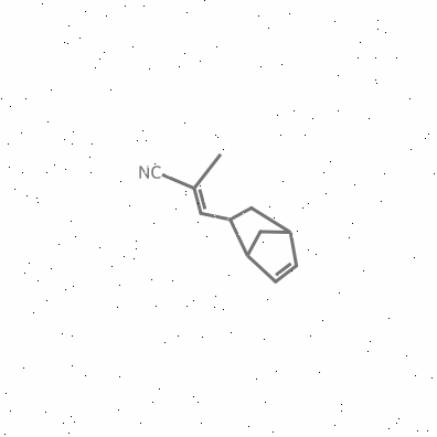 CC(C#N)=CC1CC2C=CC1C2